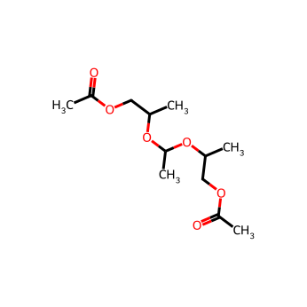 CC(=O)OCC(C)OC(C)OC(C)COC(C)=O